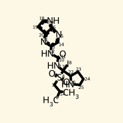 CC(C)CS(=O)(=O)C(I)(NC(=O)Nc1cnc2[nH]ccc2n1)C1CCCN1